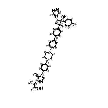 CC[C@@H]([C@H](C)O)n1ncn(-c2ccc(N3CCN(c4ccc(-c5ccc(C(F)(F)C(O)(Cn6cnnn6)c6ccc(F)cc6)nc5)cc4)CC3)cn2)c1=O